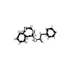 CC(Cc1ccccc1)Oc1ncnc2ccccc12